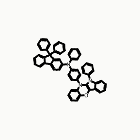 c1ccc(N(c2ccc(N3c4ccccc4Oc4c3n(-c3ccccc3)c3ccccc43)cc2)c2ccc3c(c2)C(c2ccccc2)(c2ccccc2)c2ccccc2-3)cc1